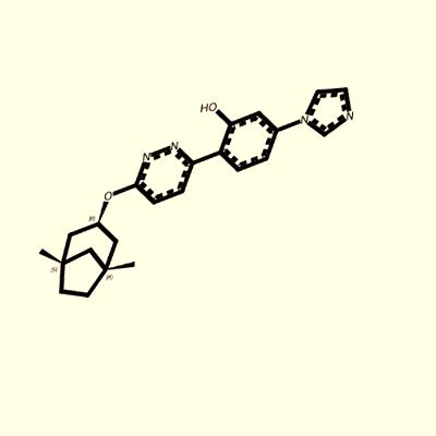 C[C@]12CC[C@](C)(C[C@@H](Oc3ccc(-c4ccc(-n5ccnc5)cc4O)nn3)C1)C2